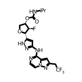 CC(C)NC(=O)O[C@H]1CO[C@@H](c2cc(Nc3nccn4nc(CC(F)(F)F)cc34)n[nH]2)[C@@H]1F